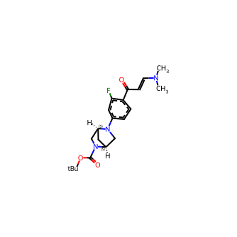 CN(C)C=CC(=O)c1ccc(N2C[C@@H]3C[C@H]2CN3C(=O)OC(C)(C)C)cc1F